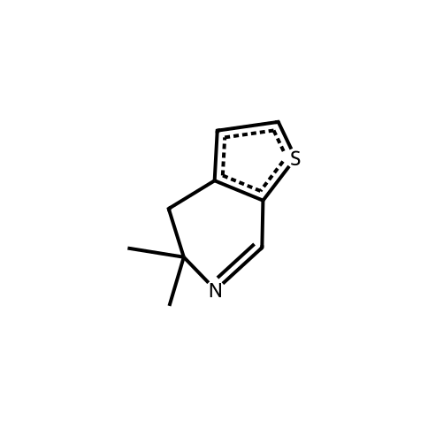 CC1(C)Cc2ccsc2C=N1